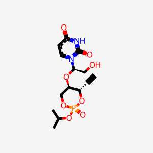 C#C[C@@H]1OP(=O)(OC(C)C)OC[C@H]1O[C@H](CO)n1ccc(=O)[nH]c1=O